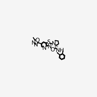 Cc1nnc(-c2cnc3nc(N4CCC[C@@H]4C(=O)NCc4ccccc4C)sc3c2)o1